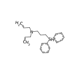 C=CCN(CC=C)CCC[SiH](c1ccccc1)c1ccccc1